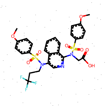 COc1ccc(S(=O)(=O)N(CCC(F)(F)F)c2cnc(N(CC(=O)O)S(=O)(=O)c3ccc(OC)cc3)c3ccccc23)cc1